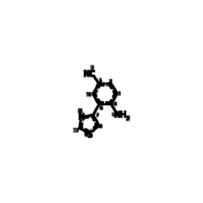 N#Cc1ccc(N)c(-c2cscn2)c1